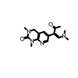 CC(=O)C(=CN(C)C)c1cnc2c(c1)CN(C)C(=O)N2C